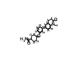 CN1C(=O)CCc2cc(-c3cncc(O[C@H]4CC[C@H](C(N)=O)CC4)c3)ccc21